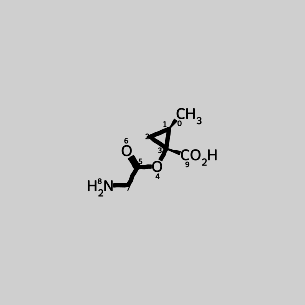 C[C@@H]1C[C@]1(OC(=O)CN)C(=O)O